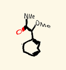 CNC(=O)C(OC)C1=CC=CC[CH]1